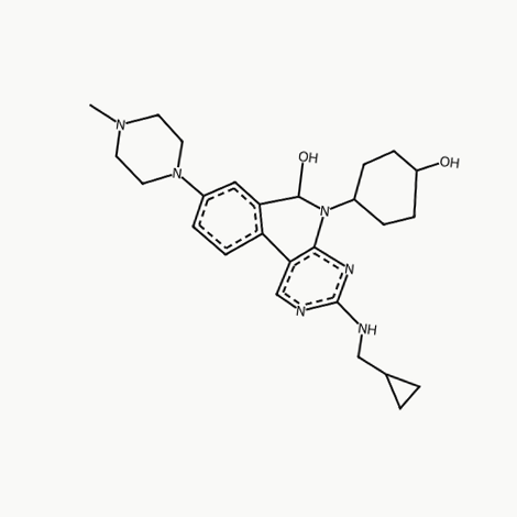 CN1CCN(c2ccc3c(c2)C(O)N(C2CCC(O)CC2)c2nc(NCC4CC4)ncc2-3)CC1